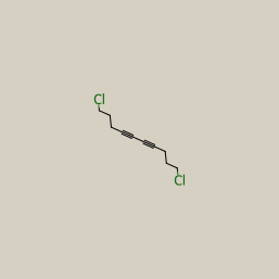 ClCCCC#CC#CCCCCl